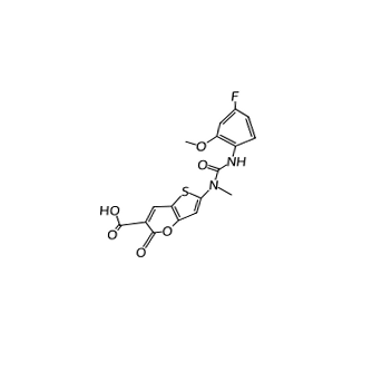 COc1cc(F)ccc1NC(=O)N(C)c1cc2oc(=O)c(C(=O)O)cc2s1